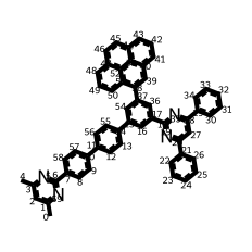 Cc1cc(C)nc(-c2ccc(-c3ccc(-c4cc(-c5nc(-c6ccccc6)cc(-c6ccccc6)n5)cc(-c5cc6cccc7ccc8cccc5c8c76)c4)cc3)cc2)n1